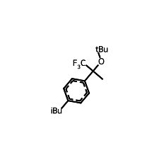 CCC(C)c1ccc(C(C)(OC(C)(C)C)C(F)(F)F)cc1